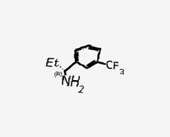 CC[C@@H](N)c1cccc(C(F)(F)F)c1